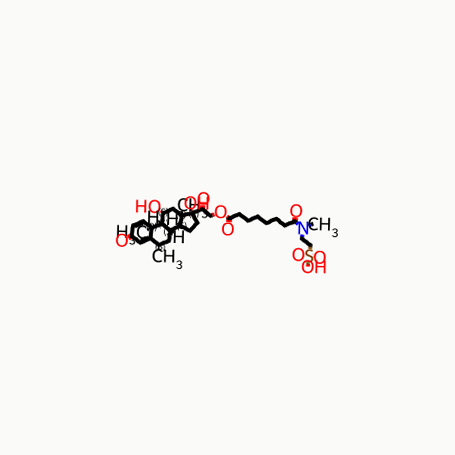 C[C@H]1C[C@@H]2[C@H]([C@@H](O)C[C@@]3(C)[C@H]2CC[C@]3(O)C(=O)COC(=O)CCCCCCC(=O)N(C)CCS(=O)(=O)O)[C@@]2(C)C=CC(=O)C=C12